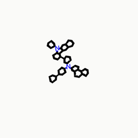 c1ccc(-c2ccc(N(c3cccc(-c4cccc5c4c4cc6ccccc6cc4n5-c4ccccc4)c3)c3ccc4c(ccc5ccccc54)c3)cc2)cc1